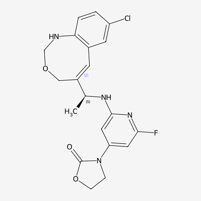 C[C@H](Nc1cc(N2CCOC2=O)cc(F)n1)/C1=C/c2cc(Cl)ccc2NCOC1